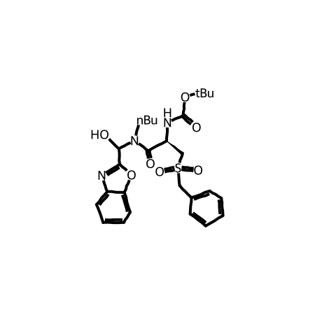 CCCCN(C(=O)[C@H](CS(=O)(=O)Cc1ccccc1)NC(=O)OC(C)(C)C)C(O)c1nc2ccccc2o1